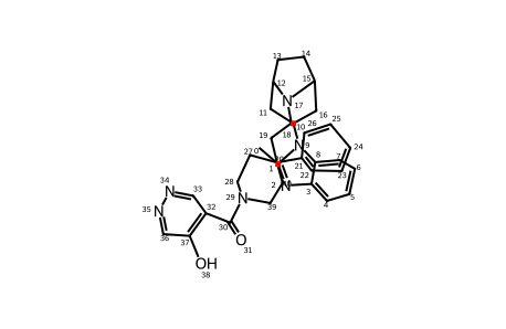 Cc1nc2ccccc2n1C1CC2CCC(C1)N2CCC1(c2ccccc2)CCN(C(=O)c2cnncc2O)CC1